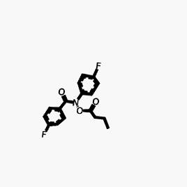 CCCC(=O)ON(C(=O)c1ccc(F)cc1)c1ccc(F)cc1